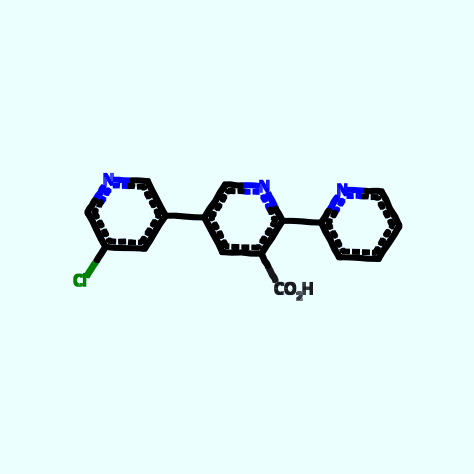 O=C(O)c1cc(-c2cncc(Cl)c2)cnc1-c1ccccn1